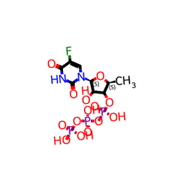 C[C@@H]1O[C@H](n2cc(F)c(=O)[nH]c2=O)C(O)C1OP(=O)(O)OP(=O)(O)OP(=O)(O)O